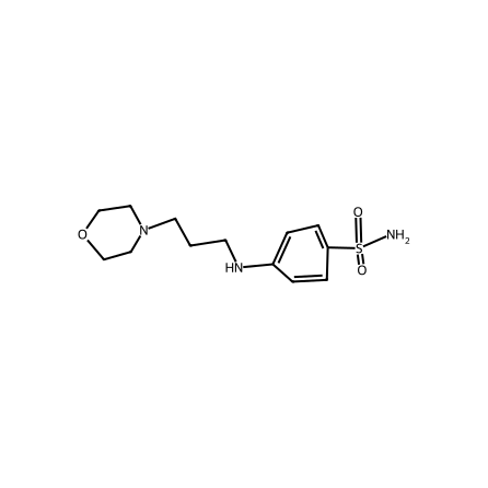 NS(=O)(=O)c1ccc(NCCCN2CCOCC2)cc1